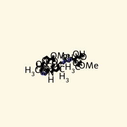 COC(=O)C1CCN(C(=O)O[C@@H](C)/C=C\C(=O)NC2C[C@H](C)[C@H](C/C=C(C)/C=C/C3O[C@](C)(OC)C[C@@]4(CO4)[C@@H]3O)O[C@@H]2C)C1